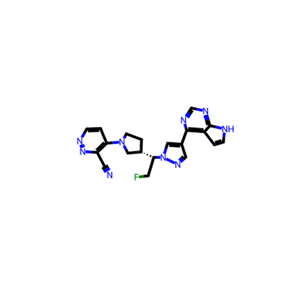 N#Cc1nnccc1N1CC[C@H](C(CF)n2cc(-c3ncnc4[nH]ccc34)cn2)C1